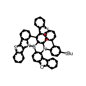 CC(C)(C)c1ccc(N2c3cc4sc5ccccc5c4c4c3B(c3ccc5oc6ccccc6c5c32)n2c3c-4cccc3c3sc4ccccc4c32)c(-c2ccccc2)c1